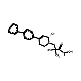 CC(S)(CN1CCC(c2ccc(-c3ccccc3)cc2)=C[C@@H]1O)C(=O)NO